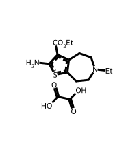 CCOC(=O)c1c(N)sc2c1CCN(CC)CC2.O=C(O)C(=O)O